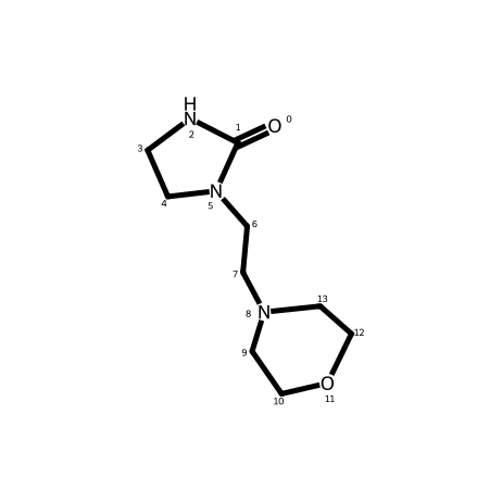 O=C1NCCN1CCN1CCOCC1